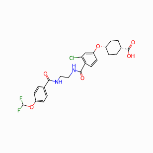 O=C(NCCNC(=O)c1ccc(O[C@H]2CC[C@@H](C(=O)O)CC2)cc1Cl)c1ccc(OC(F)F)cc1